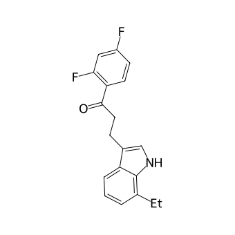 CCc1cccc2c(CCC(=O)c3ccc(F)cc3F)c[nH]c12